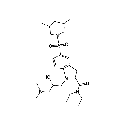 CCN(CC)C(=O)C1Cc2cc(S(=O)(=O)N3CC(C)CC(C)C3)ccc2N1CC(O)CN(C)C